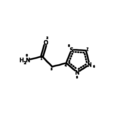 NC(=O)Cc1nn[c]s1